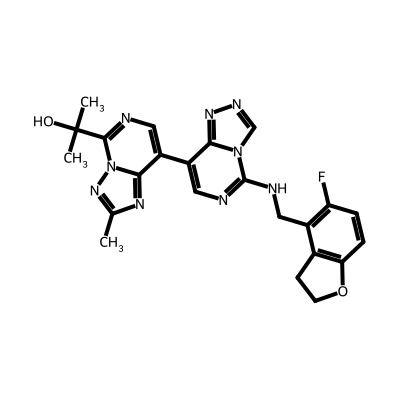 Cc1nc2c(-c3cnc(NCc4c(F)ccc5c4CCO5)n4cnnc34)cnc(C(C)(C)O)n2n1